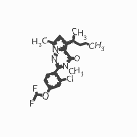 CCCC(C)c1cc(C)n2nc(-c3ccc(OC(F)F)cc3Cl)n(C)c(=O)c12